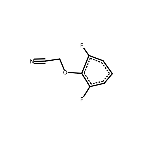 N#CCOc1c(F)c[c]cc1F